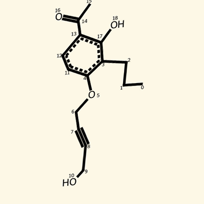 CCCc1c(OCC#CCO)ccc(C(C)=O)c1O